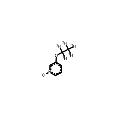 [2H]C([2H])([2H])C([2H])([2H])Oc1ccc[n+]([O-])c1